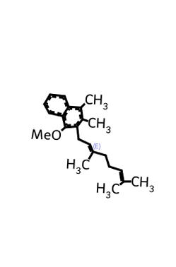 COc1c(C/C=C(\C)CCC=C(C)C)c(C)c(C)c2ccccc12